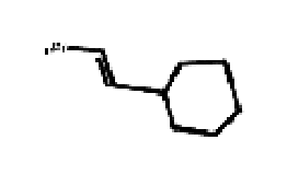 CCCC=C[C]1CCCCC1